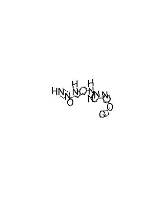 O=C(c1cc2cc(Nc3nccc(-c4cc(OC5CCOC5)ccn4)n3)ccc2[nH]1)N1CCNCC1